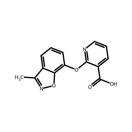 Cc1noc2c(Oc3ncccc3C(=O)O)cccc12